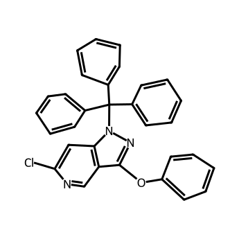 Clc1cc2c(cn1)c(Oc1ccccc1)nn2C(c1ccccc1)(c1ccccc1)c1ccccc1